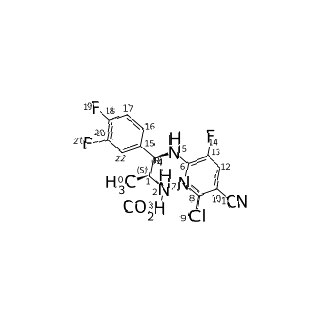 C[C@H](NC(=O)O)[C@H](Nc1nc(Cl)c(C#N)cc1F)c1ccc(F)c(F)c1